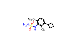 COc1ccc(C2CCC2)c(C#N)c1NS(N)(=O)=O